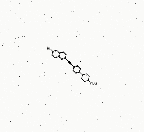 CCCCC1CCC(c2ccc(C#Cc3ccc4cc(CC)ccc4c3)cc2)CC1